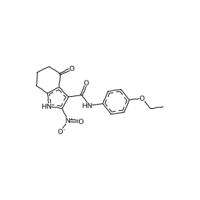 CCOc1ccc(NC(=O)c2c([N+](=O)[O-])[nH]c3c2C(=O)CCC3)cc1